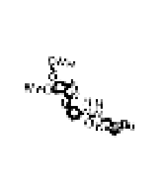 CN/C(=C\C(=N)C(C)(C)C)NC(=O)Nc1cccc(Oc2ncnc3cc(OCCOC)c(OC)cc23)c1